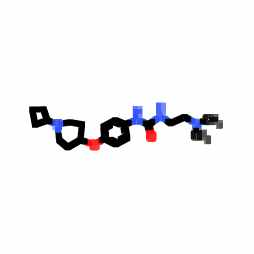 CN(C)CCNC(=O)Nc1ccc(OC2CCN(C3CCC3)CC2)cc1